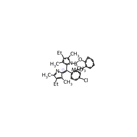 CCC1=C(C)/C(=C(\c2ccc(Cl)cc2)c2c(C)c(CC)c(C)n2B(C)Oc2ccccc2OC)N=C1C